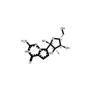 C[C@@]1(O)[C@H](O)[C@@H](CO)O[C@@]1(C#N)c1ccc2c(=O)[nH]c(N)nn12